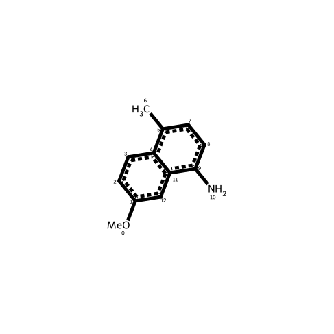 COc1ccc2c(C)ccc(N)c2c1